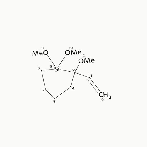 C=CC1(OC)CCCC[Si]1(OC)OC